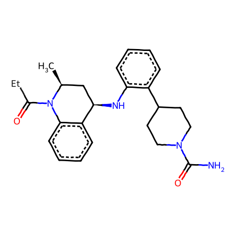 CCC(=O)N1c2ccccc2[C@H](Nc2ccccc2C2CCN(C(N)=O)CC2)C[C@@H]1C